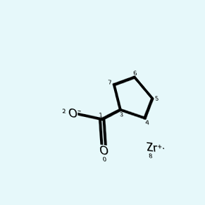 O=C([O-])C1CCCC1.[Zr+]